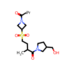 CC(C)C(=O)N1CC(S(=O)(=O)CCC(C)C(=O)N2CCC(CO)C2)C1